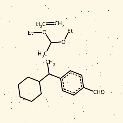 C=C.CC(c1ccc(C=O)cc1)C1CCCCC1.CCOC(C)OCC